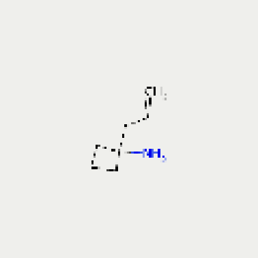 C=CCC1(N)CCC1